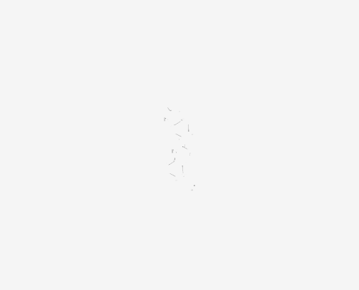 CC1(C)C(=O)Nc2cc(C(=O)Nc3cccc(CO)c3)ccc21